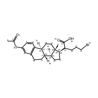 CC(=O)Oc1ccc2c(c1)CC[C@@H]1[C@@H]2CC[C@]2(C)[C@@H](C(CCCBr)C(=O)O)CC[C@@H]12